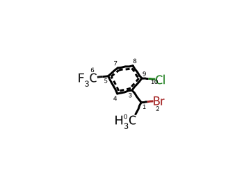 CC(Br)c1cc(C(F)(F)F)ccc1Cl